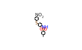 Cc1ccc(S(=O)(=O)Nc2ccc(Sc3ccc([N+](=O)[O-])cc3)cc2)cc1